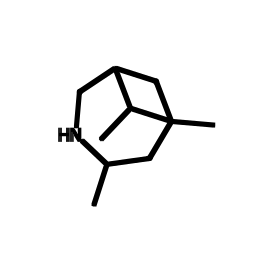 CC1CC2(C)CC(CN1)C2C